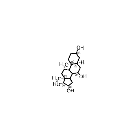 C[C@]12CCC3C(C1C[C@H](O)[C@@H]2O)[C@H](O)C[C@@H]1C[C@H](O)CC[C@]31C